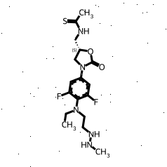 CCN(CCNNC)c1c(F)cc(N2C[C@H](CNC(C)=S)OC2=O)cc1F